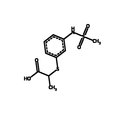 CC(Sc1cccc(NS(C)(=O)=O)c1)C(=O)O